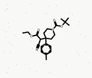 CCOC(=O)C(C#N)C1(c2ccc(C)cc2)CCN(C(=O)OC(C)(C)C)CC1